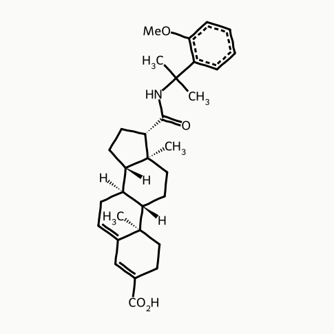 COc1ccccc1C(C)(C)NC(=O)[C@H]1CC[C@H]2[C@@H]3CC=C4C=C(C(=O)O)CC[C@]4(C)[C@H]3CC[C@]12C